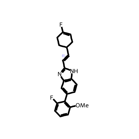 COc1cccc(F)c1-c1ccc2[nH]c(/C=C/C3CC=C(F)CC3)nc2c1